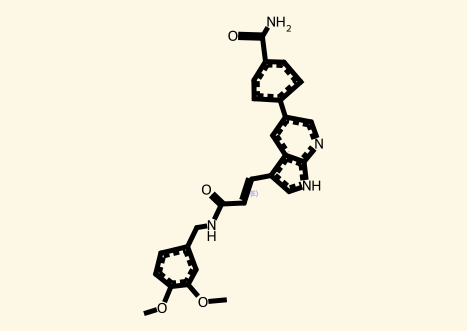 COc1ccc(CNC(=O)/C=C/c2c[nH]c3ncc(-c4ccc(C(N)=O)cc4)cc23)cc1OC